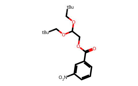 CC(C)(C)COC(COC(=O)c1cccc([N+](=O)[O-])c1)OCC(C)(C)C